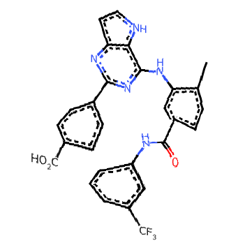 Cc1ccc(C(=O)Nc2cccc(C(F)(F)F)c2)cc1Nc1nc(-c2ccc(C(=O)O)cc2)nc2cc[nH]c12